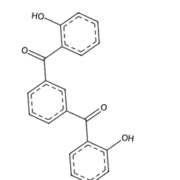 O=C(c1cccc(C(=O)c2ccccc2O)c1)c1ccccc1O